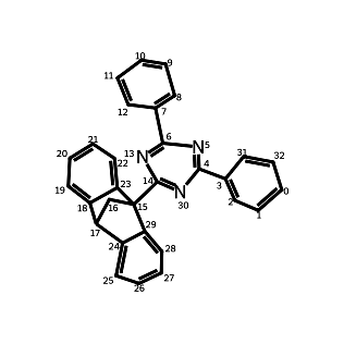 c1ccc(-c2nc(-c3ccccc3)nc(C34CC(c5ccccc53)c3ccccc34)n2)cc1